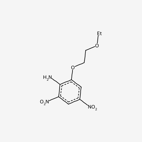 CCOCCOc1cc([N+](=O)[O-])cc([N+](=O)[O-])c1N